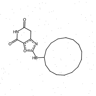 O=C1Cc2nc(BC3CCCCCCCCCCCCCC3)oc2C(=O)N1